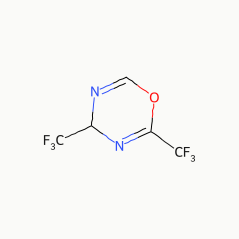 FC(F)(F)C1=NC(C(F)(F)F)N=CO1